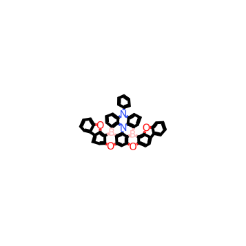 c1ccc(N2c3cccc4c3N3c5c(cccc52)B2c5c(cc6c(c53)B4c3c(ccc4c3oc3ccccc34)O6)Oc3ccc4c(oc5ccccc54)c32)cc1